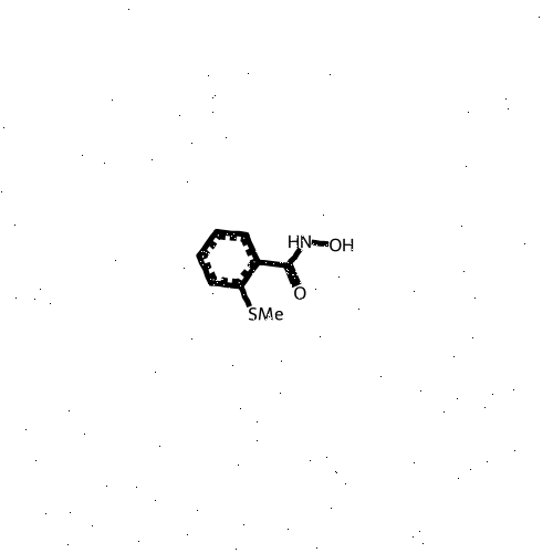 CSc1ccccc1C(=O)NO